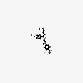 NCCCC(OCCOc1ccc(CN)cc1)c1c[nH]c(N)n1